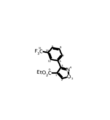 CCOC(=O)c1conc1-c1cccc(C(F)(F)F)c1